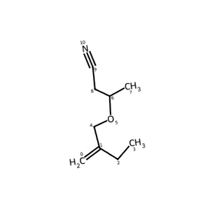 C=C(CC)COC(C)CC#N